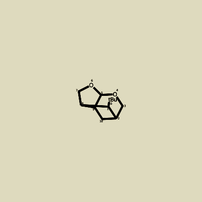 CC(C)(C)C1C2COC3OCC1C3C2